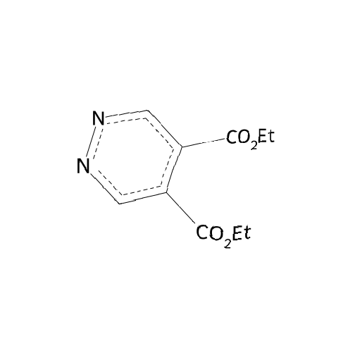 CCOC(=O)c1cnncc1C(=O)OCC